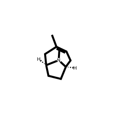 CC1=CC[C@H]2CC[C@@H](C1)N2C